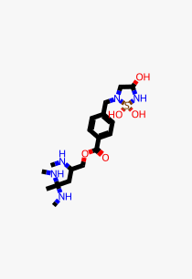 CNC(COC(=O)c1ccc(CN2CC(O)NS2(O)O)cc1)CC(C)(NC)NC